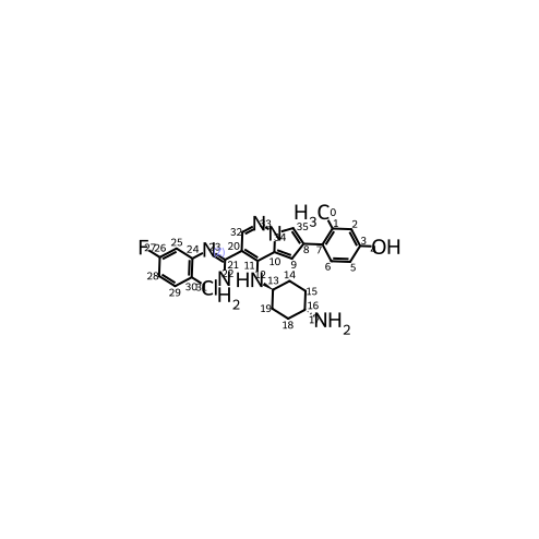 Cc1cc(O)ccc1-c1cc2c(N[C@H]3CC[C@H](N)CC3)c(/C(N)=N/c3cc(F)ccc3Cl)cnn2c1